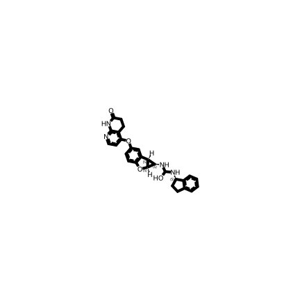 O=C1CCc2c(Oc3ccc4c(c3)[C@H]3[C@H](NC(O)N[C@H]5CCc6ccccc65)[C@H]3O4)ccnc2N1